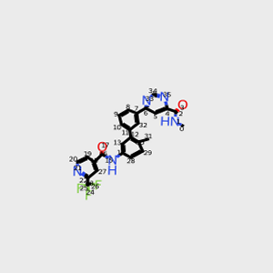 CNC(=O)c1cc(-c2cccc(-c3cc(NC(=O)c4ccnc(C(F)(F)F)c4)ccc3C)c2)ncn1